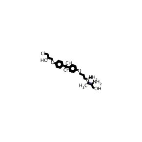 C/C(=C(/N)CO)N(N)CCCOc1ccc(C(C)(C)c2ccc(OC[C@@H](O)CCl)cc2)cc1